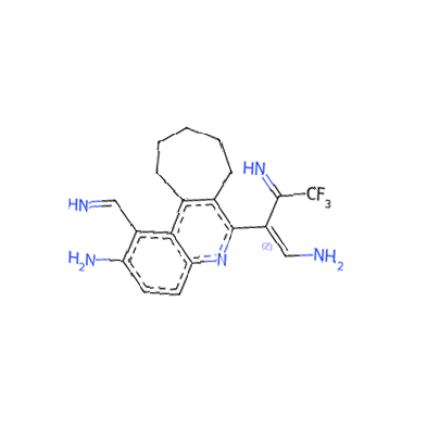 N=Cc1c(N)ccc2nc(/C(=C/N)C(=N)C(F)(F)F)c3c(c12)CCCCC3